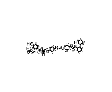 O=C(Nc1ccccc1-c1ccccc1)OC1CCN(CCCOc2ccc(CCNCC(O)c3ccc(O)c4[nH]c(=O)ccc34)cc2)CC1